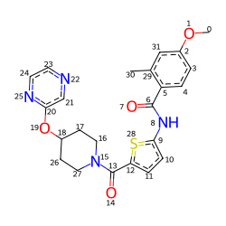 COc1ccc(C(=O)Nc2ccc(C(=O)N3CCC(Oc4cnccn4)CC3)s2)c(C)c1